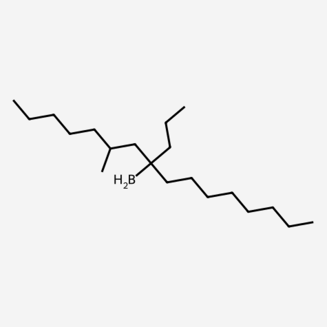 BC(CCC)(CCCCCCCC)CC(C)CCCCC